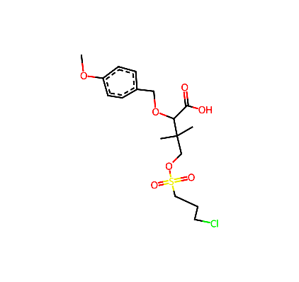 COc1ccc(COC(C(=O)O)C(C)(C)COS(=O)(=O)CCCCl)cc1